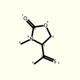 CC(=S)C1COC(=O)N1C